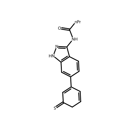 CCCC(=O)Nc1n[nH]c2cc(C3=CC(=S)CC=C3)ccc12